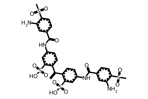 C=C(c1ccc(NC(=O)c2ccc(S(C)(=O)=O)c(N)c2)cc1S(=O)(=O)O)c1ccc(NC(=O)c2ccc(S(C)(=O)=O)c(N)c2)cc1S(=O)(=O)O